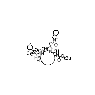 CC(C)(C)OC(=O)N[C@H]1CCCCC/C=C\[C@@H]2C[C@@]2(C(=O)NS(=O)(=O)c2cnccc2Cl)NC(=O)[C@@H]2C[C@@H](OC(=O)N3Cc4ccccc4C3)CN2C1=O